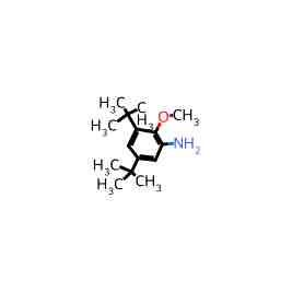 COc1c(N)cc(C(C)(C)C)cc1C(C)(C)C